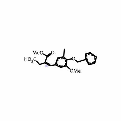 COC(=O)/C(=C\c1cc(C)c(OCc2ccccc2)c(OC)c1)CC(=O)O